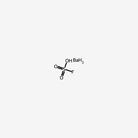 O=S(=O)(O)F.[BaH2]